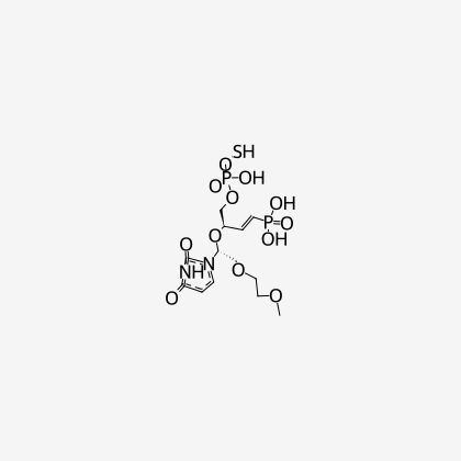 COCCOC[C@@H](O[C@H](/C=C/P(=O)(O)O)COP(=O)(O)OS)n1ccc(=O)[nH]c1=O